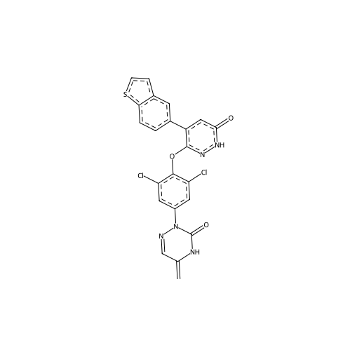 C=C1C=NN(c2cc(Cl)c(Oc3n[nH]c(=O)cc3-c3ccc4sccc4c3)c(Cl)c2)C(=O)N1